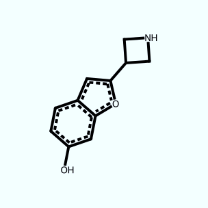 Oc1ccc2cc(C3CNC3)oc2c1